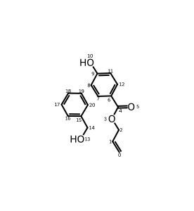 C=CCOC(=O)c1ccc(O)cc1.OCc1ccccc1